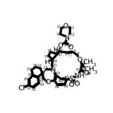 CC1(C)OC/C=C/[C@H](OC(=O)N2CCOCC2)[C@@H]2CC[C@H]2CN2C[C@@]3(CCCc4cc(Cl)ccc43)COc3ccc(cc32)S(=O)(=O)NC1=O